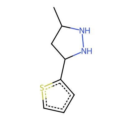 CC1CC(c2cccs2)NN1